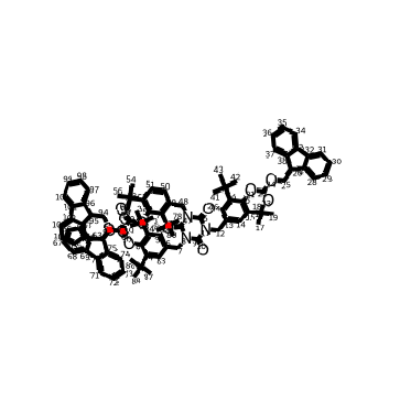 CC(C)(C)c1cc(Cn2c(=O)n(Cc3cc(C(C)(C)C)c(OC(=O)OCC4c5ccccc5-c5ccccc54)c(C(C)(C)C)c3)c(=O)n(Cc3ccc(C(C)(C)C)c(OC(=O)OCC4c5ccccc5-c5ccccc54)c3C(C)(C)C)c2=O)cc(C(C)(C)C)c1OC(=O)OCC1c2ccccc2-c2ccccc21